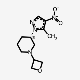 Cc1c([N+](=O)[O-])cnn1[C@H]1CCCN(C2COC2)C1